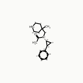 CC(=O)N(CC1(C)CCNCC1)[C@@H]1CC1c1ccccc1